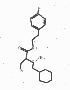 CC(C)CC(C(=O)NCCc1ccc(F)cc1)[C@H](N)CC1CCCCC1